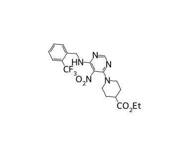 CCOC(=O)C1CCN(c2ncnc(NCc3ccccc3C(F)(F)F)c2[N+](=O)[O-])CC1